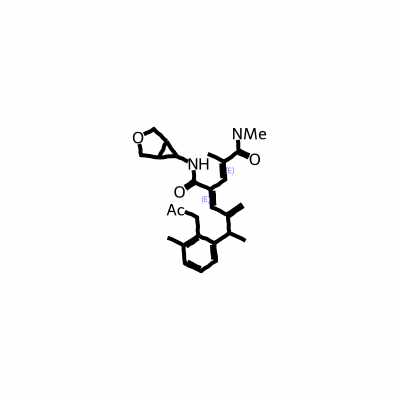 C=C(/C=C(\C=C(/C)C(=O)NC)C(=O)NC1C2COCC21)C(C)c1cccc(C)c1CC(C)=O